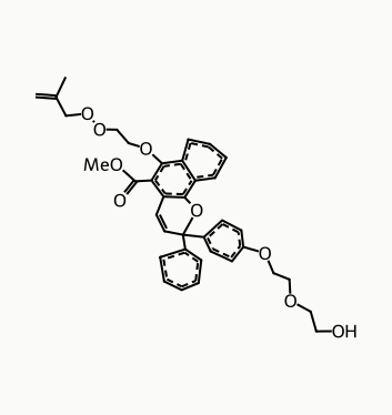 C=C(C)COOCCOc1c(C(=O)OC)c2c(c3ccccc13)OC(c1ccccc1)(c1ccc(OCCOCCO)cc1)C=C2